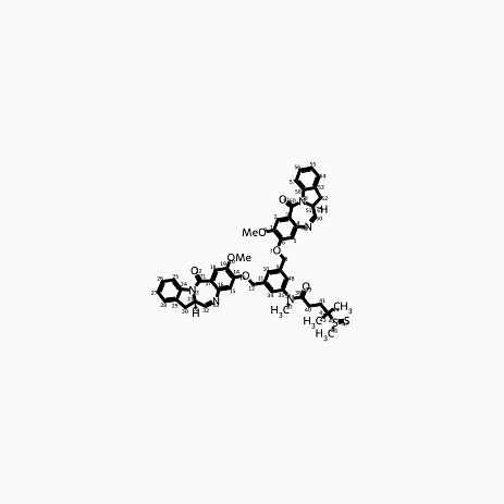 COc1cc2c(cc1OCc1cc(COc3cc4c(cc3OC)C(=O)N3c5ccccc5C[C@H]3C=N4)cc(N(C)C(=O)CCC(C)(C)S(C)=S)c1)N=C[C@@H]1Cc3ccccc3N1C2=O